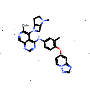 COc1ncc2ncnc(Nc3ccc(Oc4ccn5ncnc5c4)c(C)c3)c2c1N1CC2C1CCN2C